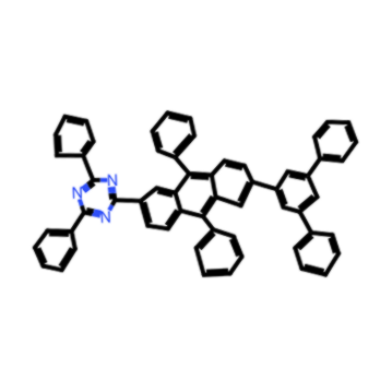 c1ccc(-c2cc(-c3ccccc3)cc(-c3ccc4c(-c5ccccc5)c5cc(-c6nc(-c7ccccc7)nc(-c7ccccc7)n6)ccc5c(-c5ccccc5)c4c3)c2)cc1